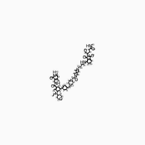 CCN(c1cc(-c2ccc(CN3CCN(CC(=O)N4CC5(CN(CCCCNc6cccc7c6C(=O)N(C(C=O)CCC(=O)NC)C7=O)C5)C4)CC3)cc2)cc(C(=O)NCc2c(C)cc(C)[nH]c2=O)c1C)C1CCOCC1